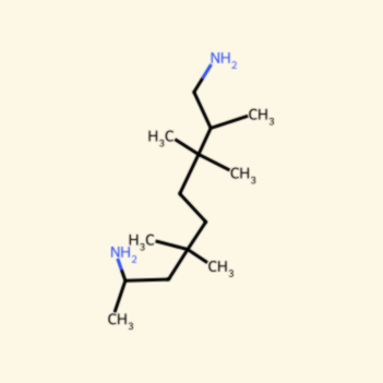 CC(N)CC(C)(C)CCC(C)(C)C(C)CN